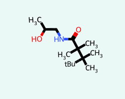 CC(O)CNC(=O)C(C)(C)C(C)(C)C(C)(C)C